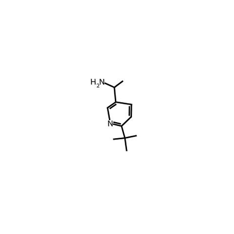 CC(N)c1ccc(C(C)(C)C)nc1